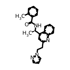 Cc1ccccc1C(=O)N[C@H](C)c1cc(CCn2cccn2)nc2ccccc12